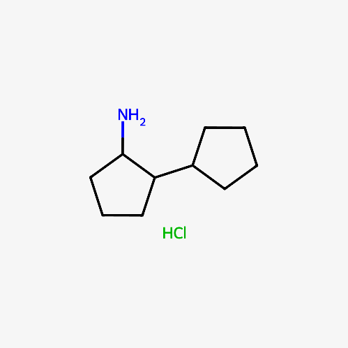 Cl.NC1CCCC1C1CCCC1